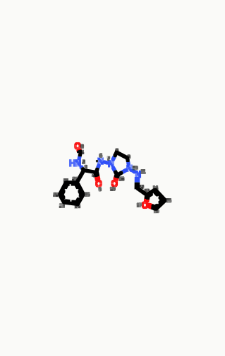 O=CNC(C(=O)[N]N1CCN(N=Cc2ccco2)C1=O)c1ccccc1